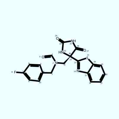 O=CN(Cc1ccc(F)cc1)C[C@@]1(c2nc3ccccc3s2)NC(=O)NC1=O